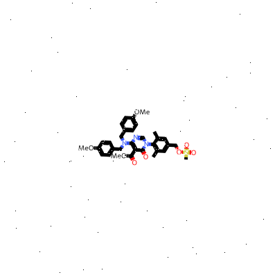 COC(=O)c1c(N(Cc2ccc(OC)cc2)Cc2ccc(OC)cc2)ncn(-c2c(C)cc(COS(C)(=O)=O)cc2C)c1=O